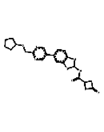 O=C1CC(C(=O)NC2Nc3ccc(-c4cnc(COC5CCCC5)nc4)cc3S2)C1